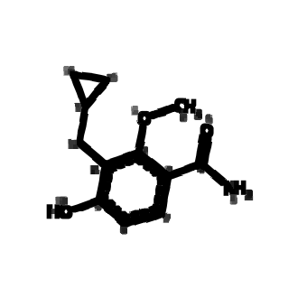 COc1c(C(N)=O)ccc(O)c1CC1CC1